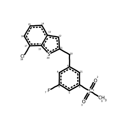 CS(=O)(=O)c1cc(F)cc(Cc2cc3cccc(Cl)c3s2)c1